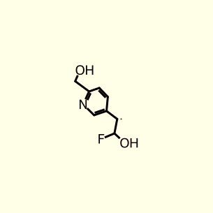 OCc1ccc([CH]C(O)F)cn1